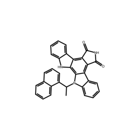 CC(c1cccc2ccccc12)n1c2ccccc2c2c3c(c4c5ccccc5[nH]c4c21)C(=O)NC3=O